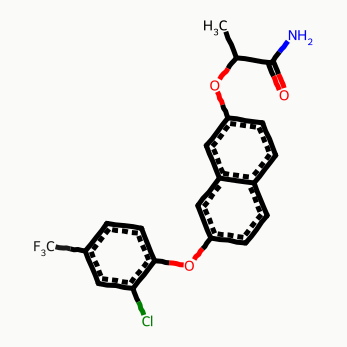 CC(Oc1ccc2ccc(Oc3ccc(C(F)(F)F)cc3Cl)cc2c1)C(N)=O